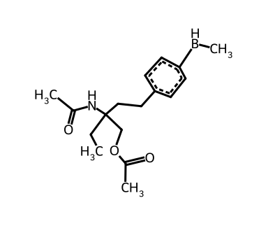 CBc1ccc(CCC(CC)(COC(C)=O)NC(C)=O)cc1